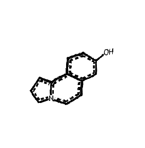 Oc1ccc2c(ccn3cccc23)c1